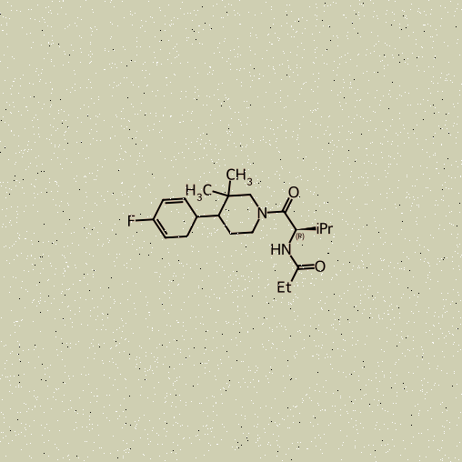 CCC(=O)N[C@@H](C(=O)N1CCC(C2C=CC(F)=CC2)C(C)(C)C1)C(C)C